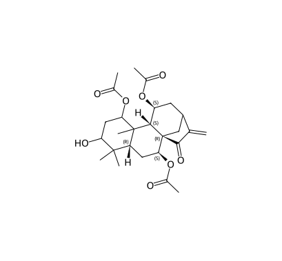 C=C1C(=O)[C@]23CC1C[C@H](OC(C)=O)[C@H]2C1(C)C(OC(C)=O)CC(O)C(C)(C)[C@H]1C[C@@H]3OC(C)=O